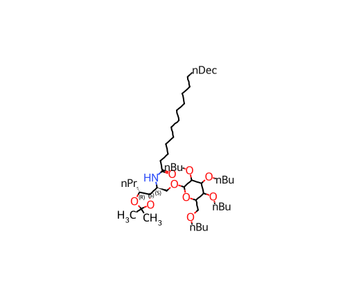 CCCCCCCCCCCCCCCCCCCCCC(=O)N[C@@H](COC1OC(COCCCC)C(OCCCC)C(OCCCC)C1OCCCC)[C@@H]1OC(C)(C)O[C@@H]1CCC